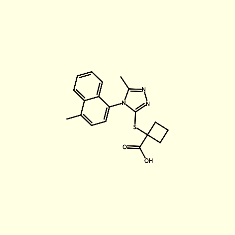 Cc1ccc(-n2c(C)nnc2SC2(C(=O)O)CCC2)c2ccccc12